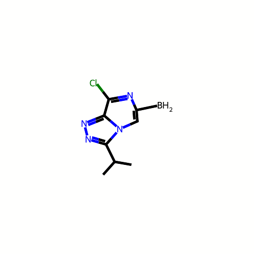 Bc1cn2c(C(C)C)nnc2c(Cl)n1